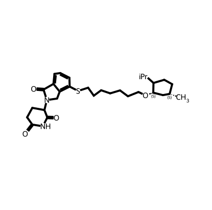 CC(C)C1CC[C@H](C)C[C@@H]1OCCCCCCCSc1cccc2c1CN(C1CCC(=O)NC1=O)C2=O